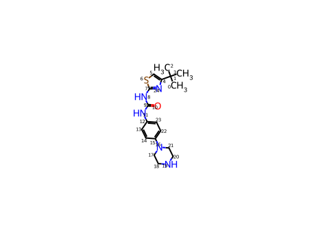 CC(C)(C)c1csc(NC(=O)Nc2ccc(N3CCNCC3)cc2)n1